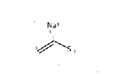 C=C[S-].[Na+]